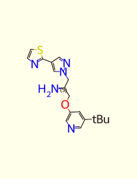 CC(C)(C)c1cncc(OC[C@@H](N)Cn2cc(-c3nccs3)cn2)c1